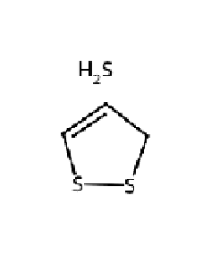 C1=CSSC1.S